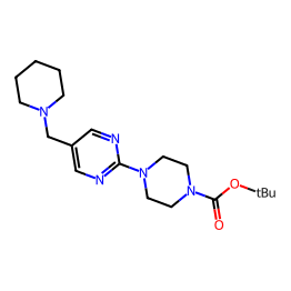 CC(C)(C)OC(=O)N1CCN(c2ncc(CN3CCCCC3)cn2)CC1